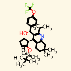 CC(C)c1nc2c(c([C@@H]3CCC=C3O[Si](C)(C)C(C)(C)C)c1[C@H](O)c1ccc(OC(F)(F)F)cc1)CCC(C)(C)C2